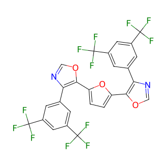 FC(F)(F)c1cc(-c2ncoc2-c2ccc(-c3ocnc3-c3cc(C(F)(F)F)cc(C(F)(F)F)c3)o2)cc(C(F)(F)F)c1